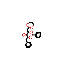 O=C(OC(Cc1ccccc1)C(=O)CCC1OCCCO1)c1ccccc1